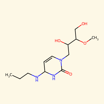 CCCNC1C=CN(CC(O)C(CO)OC)C(=O)N1